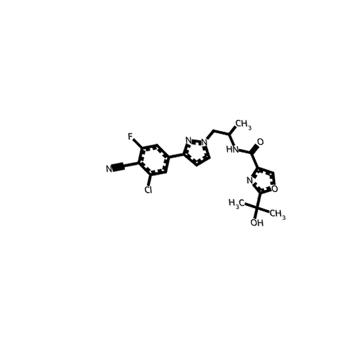 CC(Cn1ccc(-c2cc(F)c(C#N)c(Cl)c2)n1)NC(=O)c1coc(C(C)(C)O)n1